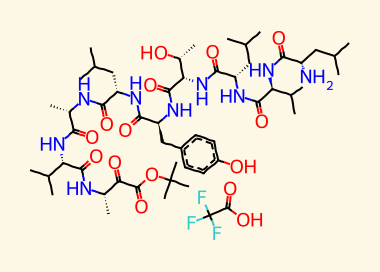 CC(C)C[C@H](NC(=O)[C@H](Cc1ccc(O)cc1)NC(=O)[C@@H](NC(=O)[C@H](CC(C)C)NC(=O)[C@@H](NC(=O)[C@@H](N)CC(C)C)C(C)C)[C@@H](C)O)C(=O)N[C@@H](C)C(=O)N[C@H](C(=O)N[C@@H](C)C(=O)C(=O)OC(C)(C)C)C(C)C.O=C(O)C(F)(F)F